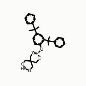 CC(C)(c1ccccc1)c1ccc(OP2OCC3(COPOC3)CO2)c(C(C)(C)c2ccccc2)c1